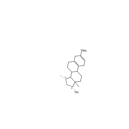 COC1=CCC2=C(CCC3C2CCC2(C)C3[C@@H](C)C[C@H]2O)C1